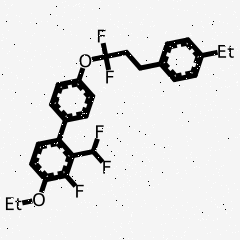 CCOc1ccc(-c2ccc(OC(F)(F)CCc3ccc(CC)cc3)cc2)c(C(F)F)c1F